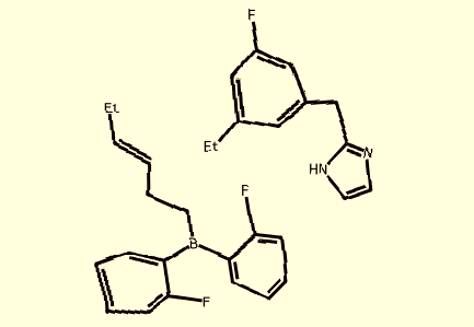 CCC=CCCB(c1ccccc1F)c1ccccc1F.CCc1cc(F)cc(Cc2ncc[nH]2)c1